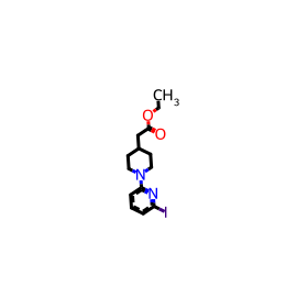 CCOC(=O)CC1CCN(c2cccc(I)n2)CC1